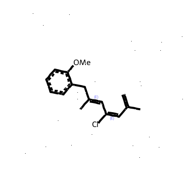 C=C(C)/C=C(Cl)\C=C(/C)Cc1ccccc1OC